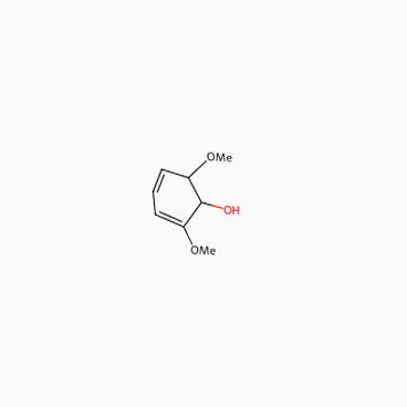 COC1=CC=CC(OC)[C]1O